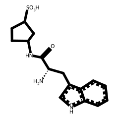 N[C@@H](Cc1c[nH]c2ccccc12)C(=O)NC1CCC(S(=O)(=O)O)C1